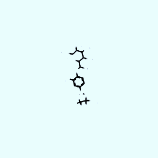 CC(=O)OCC(C)C(OC(C)=O)C(OC(C)=O)C(OC(C)=O)C(O)Oc1ccc(B2OC(C)(C)C(C)(C)O2)cc1C